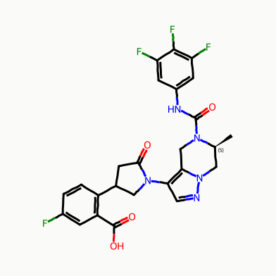 C[C@H]1Cn2ncc(N3CC(c4ccc(F)cc4C(=O)O)CC3=O)c2CN1C(=O)Nc1cc(F)c(F)c(F)c1